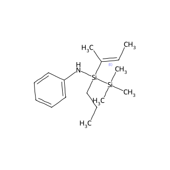 C/C=C(\C)[Si](CCC)(Nc1ccccc1)[Si](C)(C)C